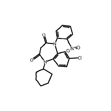 O=C1CC(=O)N(C2CCCCC2)c2ccc(Cl)cc2N1c1ccccc1[N+](=O)[O-]